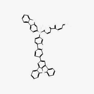 C=C/C=C\C(=C)C(=C)/C=C\C(=C)N(c1ccc2c(c1)oc1ccccc12)c1ccc2c(c1)oc1cc(-c3cc4c5ccccc5n5c6ccccc6c(c3)c45)ccc12